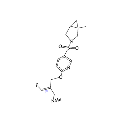 CNC/C(=C/F)COc1ccc(S(=O)(=O)N2CC3CC3(C)C2)cn1